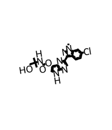 Cn1nc(-c2cnc3[nH]cc(OC(=O)NC(C)(C)CO)c3n2)c2ccc(Cl)cc21